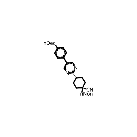 CCCCCCCCCCc1ccc(-c2cnc([C@H]3CC[C@@](C#N)(CCCCCCCCC)CC3)nc2)cc1